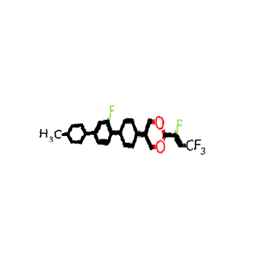 CC1CCC(c2ccc(C3CCC(C4COC(/C(F)=C/C(F)(F)F)OC4)CC3)c(F)c2)CC1